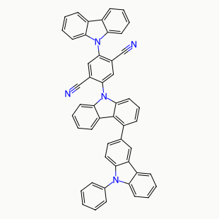 N#Cc1cc(-n2c3ccccc3c3c(-c4ccc5c(c4)c4ccccc4n5-c4ccccc4)cccc32)c(C#N)cc1-n1c2ccccc2c2ccccc21